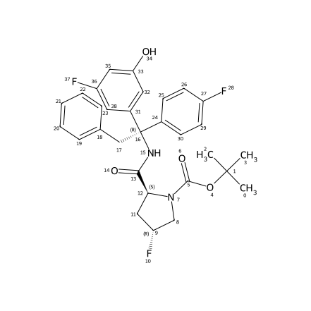 CC(C)(C)OC(=O)N1C[C@H](F)C[C@H]1C(=O)N[C@](Cc1ccccc1)(c1ccc(F)cc1)c1cc(O)cc(F)c1